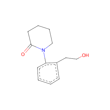 O=C1CCCCN1c1ccccc1CCO